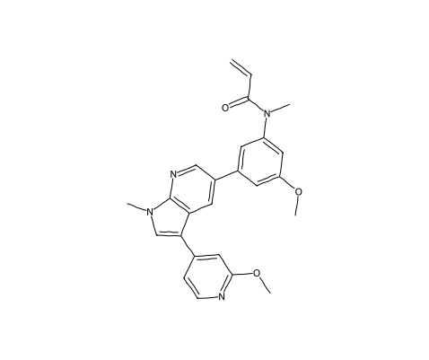 C=CC(=O)N(C)c1cc(OC)cc(-c2cnc3c(c2)c(-c2ccnc(OC)c2)cn3C)c1